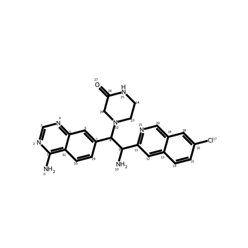 Nc1ncnc2cc(C(C(N)c3cc4ccc(Cl)cc4cn3)N3CCNC(=O)C3)ccc12